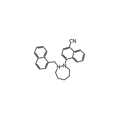 N#Cc1ccc(N2CCCCCN2Cc2cccc3ccccc23)c2ccccc12